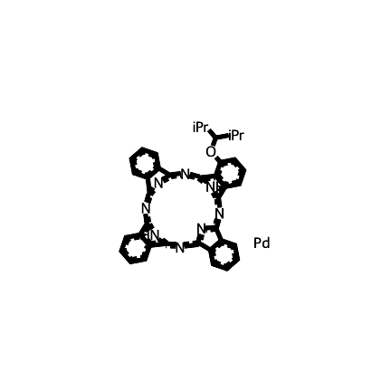 CC(C)C(Oc1cccc2c3nc4nc(nc5[nH]c(nc6nc(nc([nH]3)c12)-c1ccccc1-6)c1ccccc51)-c1ccccc1-4)C(C)C.[Pd]